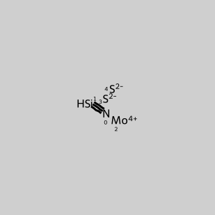 N#[SiH].[Mo+4].[S-2].[S-2]